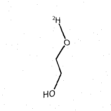 [2H]OCCO